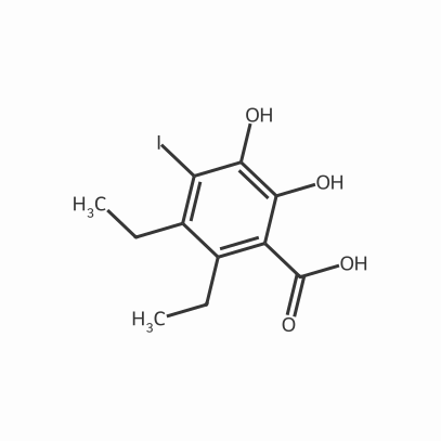 CCc1c(I)c(O)c(O)c(C(=O)O)c1CC